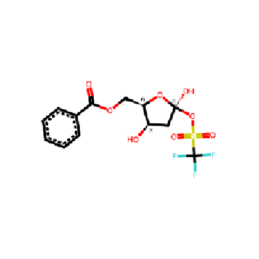 O=C(OC[C@H]1O[C@@](O)(OS(=O)(=O)C(F)(F)F)C[C@H]1O)c1ccccc1